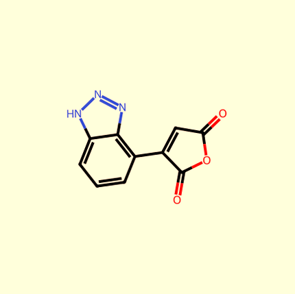 O=C1C=C(c2cccc3[nH]nnc23)C(=O)O1